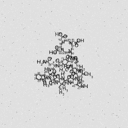 COc1cc(C(=O)NC(CCC(N)=O)C(=O)N[C@@H](Cc2c[nH]c3ccccc23)C(=O)N[C@@H](C)C(=O)N[C@H](C(=O)NCC(=O)N[C@@H](Cc2c[nH]cn2)C(=O)N[C@@H](CC(C)C)C(=O)N[C@@H](CCSC)C(N)=O)C(C)C)ccc1CNC(=O)CN1CCN(CC(=O)O)CCN(CC(=O)O)CCN(CC(=O)O)CC1